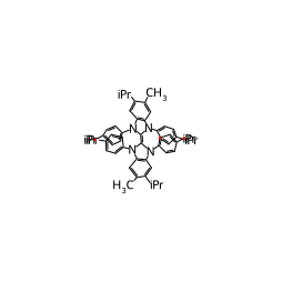 Cc1cc2c(cc1C(C)C)N(c1ccc(C(C)C)cc1)/C(=C1\N(c3ccc(C(C)C)cc3)c3cc(C)c(C(C)C)cc3N1c1ccc(C(C)C)cc1)N2c1ccc(C(C)C)cc1